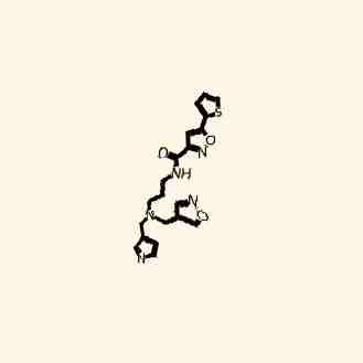 O=C(NCCCN(CC1=CCN=C1)Cc1cnoc1)c1cc(-c2cccs2)on1